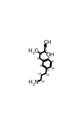 C#CC(O)C(C)Cc1cccc(CCCN)c1